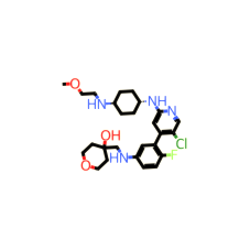 COCCN[C@H]1CC[C@H](Nc2cc(-c3cc(NCC4(O)CCOCC4)ccc3F)c(Cl)cn2)CC1